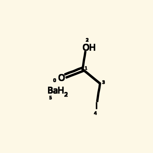 O=C(O)CI.[BaH2]